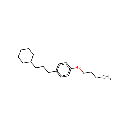 CCCCOc1ccc(CCCC2CCCCC2)cc1